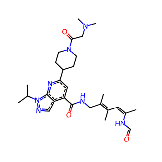 C/C(=C/C(C)=C(\C)CNC(=O)c1cc(C2CCN(C(=O)CN(C)C)CC2)nc2c1cnn2C(C)C)NC=O